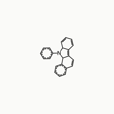 C1=CC2=C3C=Cc4ccccc4C3N(c3ccccc3)C2C=C1